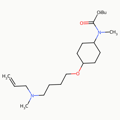 C=CCN(C)CCCCOC1CCC(N(C)C(=O)OCC(C)C)CC1